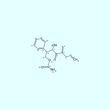 C=CCC(=S)C(=S)C(O)C(COC(N)=O)c1ccccc1